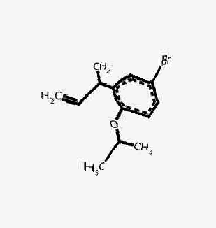 [CH2]C(C=C)c1cc(Br)ccc1OC(C)C